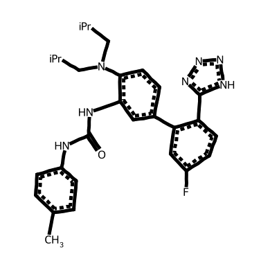 Cc1ccc(NC(=O)Nc2cc(-c3cc(F)ccc3-c3nnn[nH]3)ccc2N(CC(C)C)CC(C)C)cc1